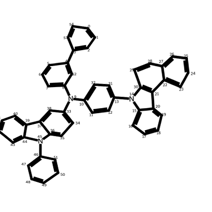 c1ccc(-c2cccc(N(c3ccc(-n4c5ccccc5c5c6ccccc6ccc54)cc3)c3ccc4c(c3)c3ccccc3n4-c3ccccc3)c2)cc1